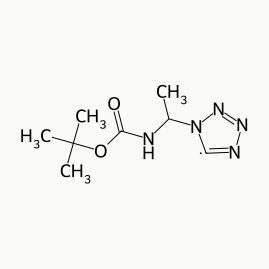 CC(NC(=O)OC(C)(C)C)n1[c]nnn1